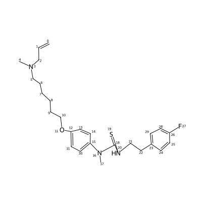 C=CCN(C)CCCCCCOc1ccc(N(C)C(=S)NCCc2ccc(F)cc2)cc1